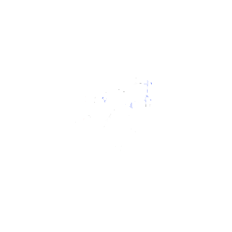 [CH2]n1cc(CN2C(=O)C(=O)c3cc(Cl)ccc32)nn1